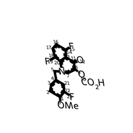 COc1ccc(Cn2cc(OC(=O)O)c(=O)c3c(F)ccc(F)c32)cc1F